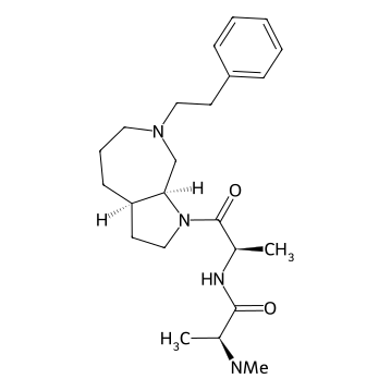 CN[C@@H](C)C(=O)N[C@H](C)C(=O)N1CC[C@H]2CCCN(CCc3ccccc3)C[C@H]21